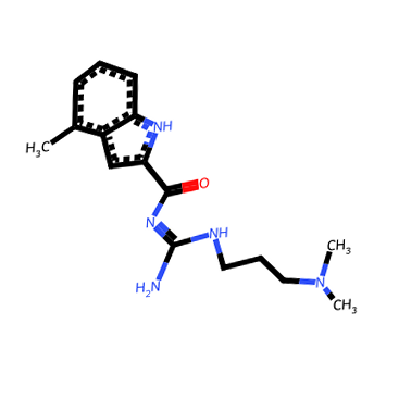 Cc1cccc2[nH]c(C(=O)N=C(N)NCCCN(C)C)cc12